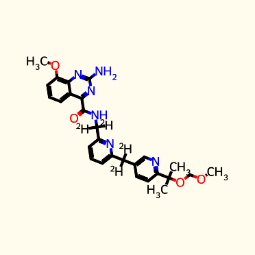 [2H]C([2H])(NC(=O)c1nc(N)nc2c(OC)cccc12)c1cccc(C([2H])([2H])c2ccc(C(C)(C)OCOC)nc2)n1